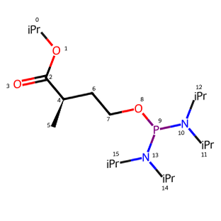 CC(C)OC(=O)[C@H](C)CCOP(N(C(C)C)C(C)C)N(C(C)C)C(C)C